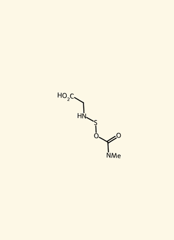 CNC(=O)OSNCC(=O)O